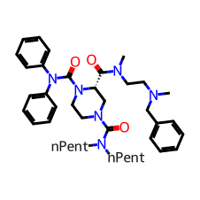 CCCCCN(CCCCC)C(=O)N1CCN(C(=O)N(c2ccccc2)c2ccccc2)[C@H](C(=O)N(C)CCN(C)Cc2ccccc2)C1